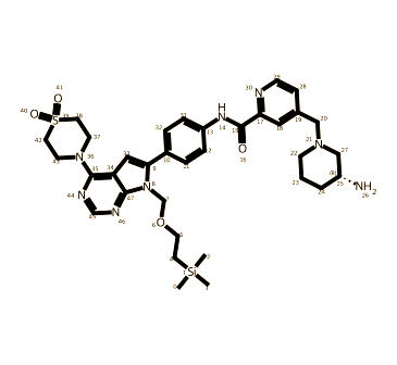 C[Si](C)(C)CCOCn1c(-c2ccc(NC(=O)c3cc(CN4CCC[C@@H](N)C4)ccn3)cc2)cc2c(N3CCS(=O)(=O)CC3)ncnc21